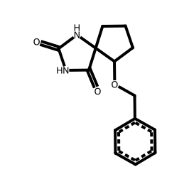 O=C1NC(=O)C2(CCCC2OCc2ccccc2)N1